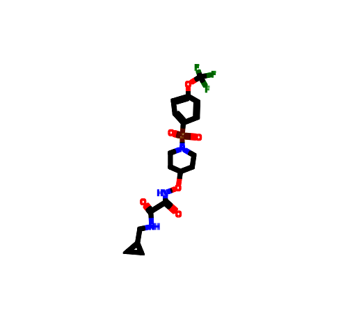 O=C(NCC1CC1)C(=O)NOC1CCN(S(=O)(=O)c2ccc(OC(F)(F)F)cc2)CC1